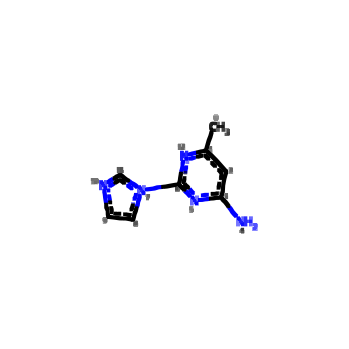 Cc1cc(N)nc(-n2ccnc2)n1